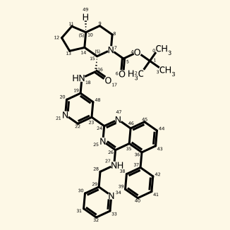 CC(C)(C)OC(=O)N1CC[C@@H]2CCCC2[C@H]1C(=O)Nc1cncc(-c2nc(NCc3ccccn3)c3c(-c4ccccc4)cccc3n2)c1